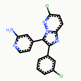 Nc1cc(-c2c(-c3cccc(Cl)c3)nc3ccc(Cl)nn23)ccn1